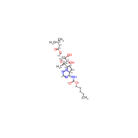 CCCCCOC(=O)Nc1ncnn2c([C@]3(C)O[C@H](COC(=O)CC(C)C)[C@@H](O)[C@H]3O)ccc12